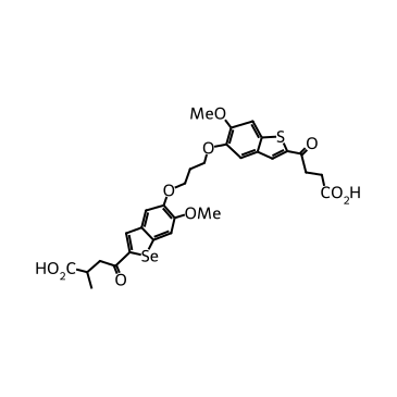 COc1cc2sc(C(=O)CCC(=O)O)cc2cc1OCCCOc1cc2cc(C(=O)CC(C)C(=O)O)[se]c2cc1OC